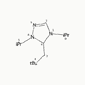 CC(C)N1C=NN(C(C)C)C1CC(C)(C)C